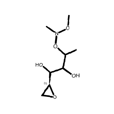 CON(C)OC(C)C(O)C(O)[C@@H]1CO1